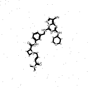 CC(C)c1cnn2c(NCc3cccc(NC(=O)C4CCN4C/C=C/C(=O)N(C)C)c3)nc(NC3CCOCC3)nc12